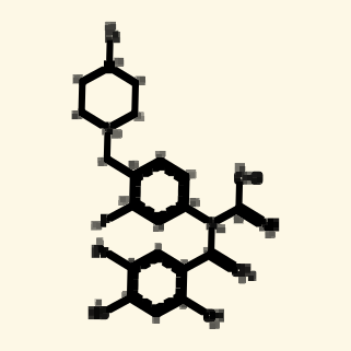 C=C(c1cc(C(C)C)c(O)cc1O)N(C(=N)C=O)c1ccc(CN2CCN(CC)CC2)c(F)c1